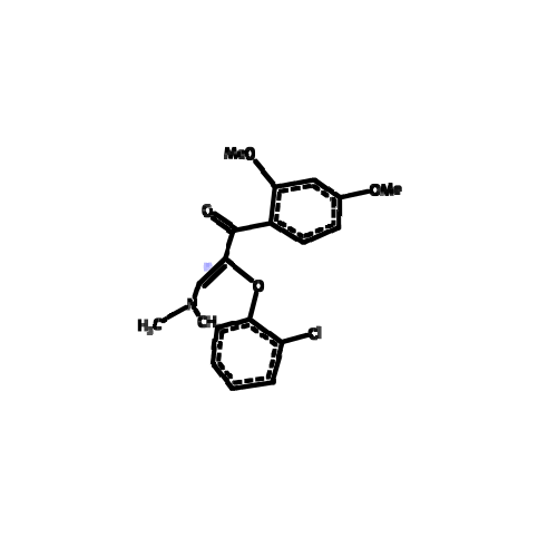 COc1ccc(C(=O)/C(=C/N(C)C)Oc2ccccc2Cl)c(OC)c1